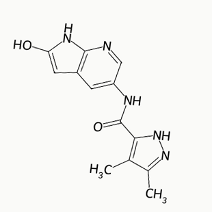 Cc1n[nH]c(C(=O)Nc2cnc3[nH]c(O)cc3c2)c1C